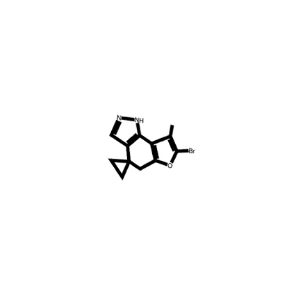 Cc1c(Br)oc2c1-c1[nH]ncc1C1(CC1)C2